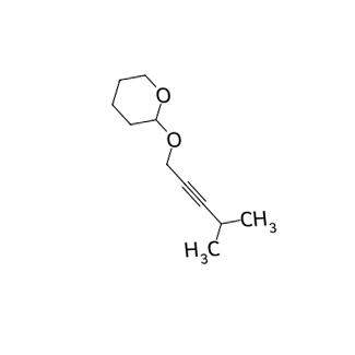 CC(C)C#CCOC1CCCCO1